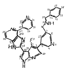 Fc1c(-c2cncc(CNCc3ccccc3)c2)cnc2[nH]nc(-c3nc4c(-c5cccnc5)nccc4[nH]3)c12